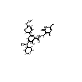 C=C1NC(C)=CC(C)=C1CNC(=O)c1cc(-c2ccc(CO)nc2)cc(N(CC)C2CCOCC2)c1C